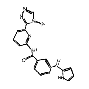 CC(C)n1cnnc1-c1cccc(NC(=O)c2cccc(Nc3ccc[nH]3)c2)n1